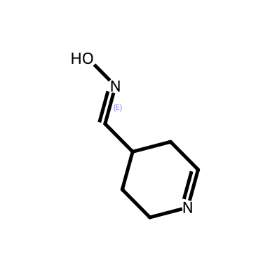 O/N=C/C1CC=NCC1